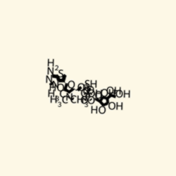 CN(C)[C@@H]1[C@@H](COP(=O)(S)OP(=O)(O)OC2OC3(O)C2C(O)C(O)C3[C@@H](O)CO)O[C@@H](c2csc3c(N)ncnc23)[C@]1(C)O